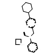 O=C([C@H]1CCN1)N(Cc1ncc(C2CCCCC2)cn1)c1ccccc1